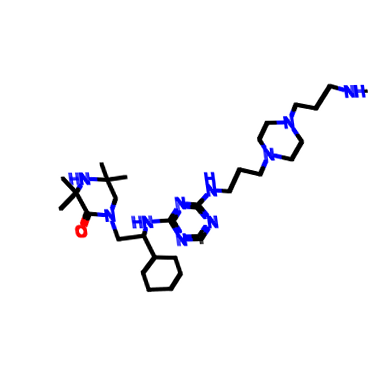 CC1(C)CN(CC(Nc2n[c]nc(NCCCN3CCN(CCC[NH])CC3)n2)C2CCCCC2)C(=O)C(C)(C)N1